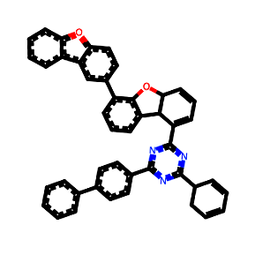 C1=CCC(c2nc(C3=CC=CC4Oc5c(-c6ccc7oc8ccccc8c7c6)cccc5C34)nc(-c3ccc(-c4ccccc4)cc3)n2)C=C1